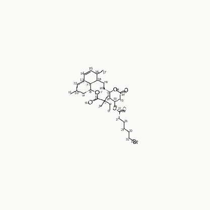 CCC(C)(C)C(=O)OC1CC(C)C=C2C=CC(C)C(CCC3CC(OC(=O)CCCCCBr)CC(=O)O3)C21